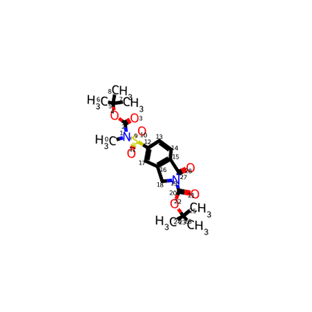 CN(C(=O)OC(C)(C)C)S(=O)(=O)c1ccc2c(c1)CN(C(=O)OC(C)(C)C)C2=O